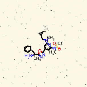 CCS(=O)(=O)N(C)c1cc(-c2nnc([C@](C)(N)Cc3ccccc3)o2)cc(N(C)CC2CC2C)n1